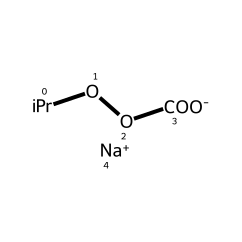 CC(C)OOC(=O)[O-].[Na+]